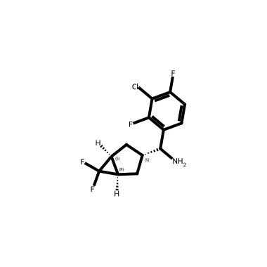 NC(c1ccc(F)c(Cl)c1F)[C@@H]1C[C@@H]2[C@H](C1)C2(F)F